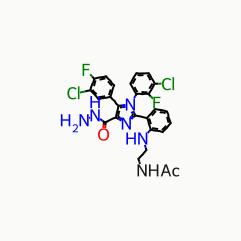 CC(=O)NCCNc1ccccc1-c1nc(C(=O)NN)c(-c2ccc(F)c(Cl)c2)n1-c1cccc(Cl)c1F